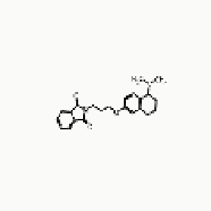 CN(C)C1CCCc2cc(OCCCN3C(=O)c4ccccc4C3=O)ccc21